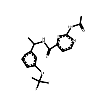 CC(=O)Nc1nccc(C(=O)NC(C)c2cccc(OC(F)(F)F)c2)n1